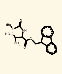 CC(C)(C)OC(=O)NC(C(=O)OCC1c2ccccc2-c2ccccc21)C(N)C(=O)O